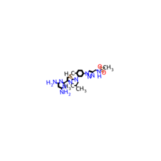 Cc1ccc(-n2cc(CNS(C)(=O)=O)nn2)cc1N(CC(C)C)c1nc(-c2nc(N)cc(N)n2)cs1